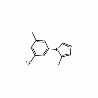 Cc1cc(-n2cncc2C)cc(C(F)(F)F)c1